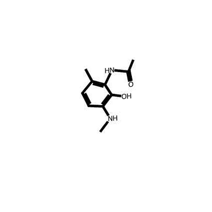 CNc1ccc(C)c(NC(C)=O)c1O